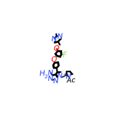 CC(=O)N1CCC[C@@H]1Cn1cc(-c2ccc(Oc3cc(F)cc(OCc4cnc(C)nc4)c3)cc2)c2c(N)ncnc21